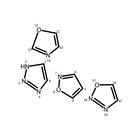 c1c[nH]nn1.c1cnoc1.c1cocn1.c1conn1